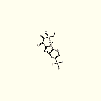 C=C(C(=O)c1nc2cc(C(F)(F)F)cnc2n1C)S(=O)(=O)CC